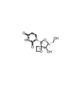 O=c1ccn([C@@H]2O[C@H](CO)[C@@H](O)[C@@]23CCO3)c(=O)[nH]1